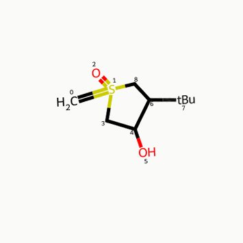 C=S1(=O)CC(O)C(C(C)(C)C)C1